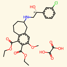 CCOC(=O)c1c(OC)cc2c(c1C(=O)OCC)CCCC(NC[C@H](O)c1cccc(Cl)c1)C2.O=C(O)C(=O)O